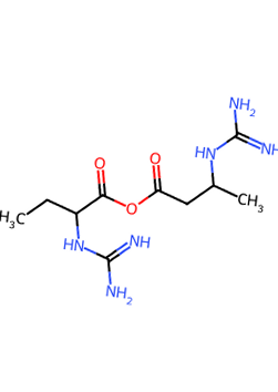 CCC(NC(=N)N)C(=O)OC(=O)CC(C)NC(=N)N